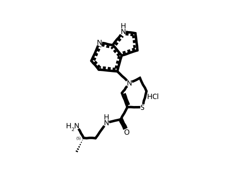 C[C@H](N)CNC(=O)C1=CN(c2ccnc3[nH]ccc23)CCS1.Cl